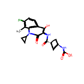 Cc1c(Br)ccc2c(O)c(NC(=O)[C@H]3C[C@H](NC(=O)O)C3)c(=O)n(C3CC3)c12